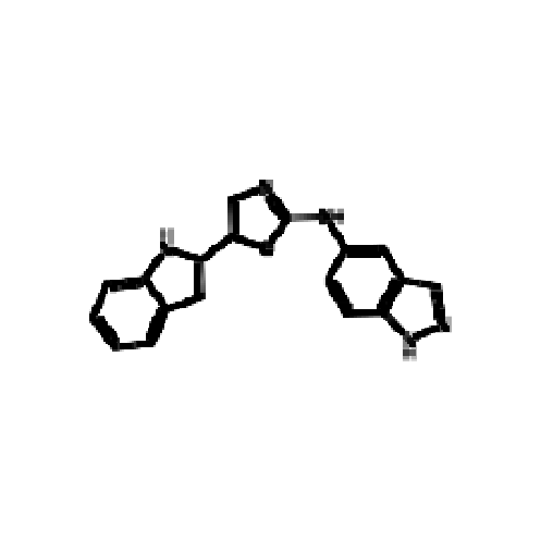 c1ccc2[nH]c(-c3cnc(Nc4ccc5[nH]ncc5c4)o3)cc2c1